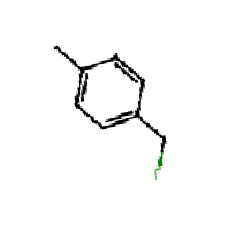 Cc1[c]cc(CF)cc1